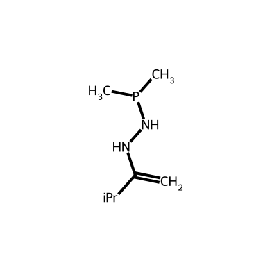 C=C(NNP(C)C)C(C)C